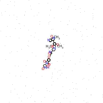 COc1cc(-c2cn(C)c(=O)c3cnccc23)cc(OC)c1CN1CCC(c2cc(COc3ccc4c(c3)C(=O)N(C3CCC(=O)NC3=O)C4=O)on2)CC1